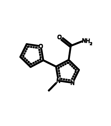 Cn1ncc(C(N)=O)c1-c1ccco1